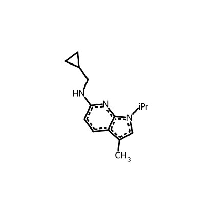 Cc1cn(C(C)C)c2nc(NCC3CC3)ccc12